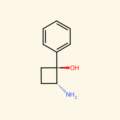 N[C@@H]1CC[C@]1(O)c1ccccc1